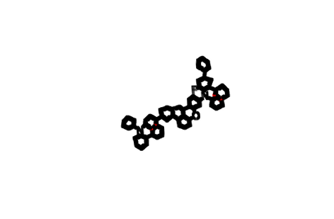 Fc1cc(-c2ccccc2)cc(-c2ccccc2)c1N(c1ccccc1)c1ccc2c(c1)Oc1cccc3c1c-2cc1ccc(-c2ccc(N(c4ccccc4)c4ccccc4-c4ccccc4)cc2)cc13